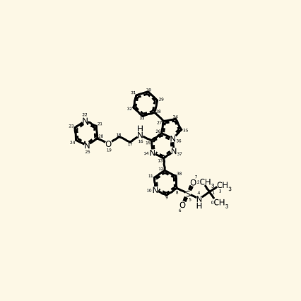 CC(C)(C)NS(=O)(=O)c1cncc(-c2nc(NCCOc3cnccn3)c3c(-c4ccccc4)ccn3n2)c1